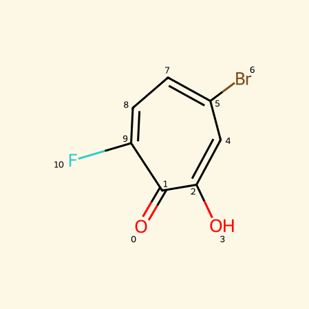 O=c1c(O)cc(Br)ccc1F